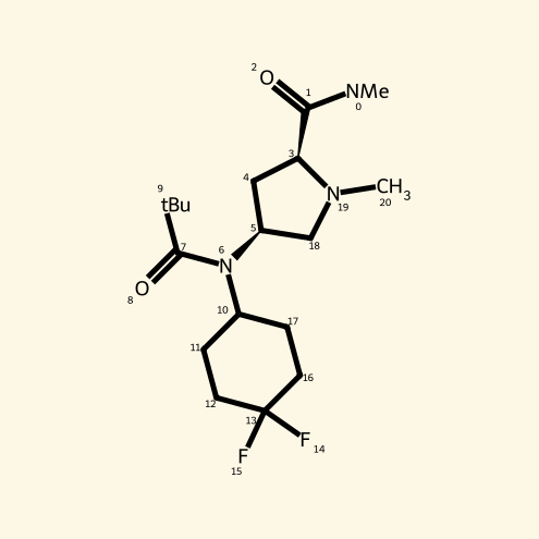 CNC(=O)[C@@H]1C[C@H](N(C(=O)C(C)(C)C)C2CCC(F)(F)CC2)CN1C